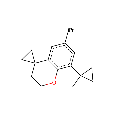 CC(C)c1cc(C2(C)CC2)c2c(c1)C1(CCO2)CC1